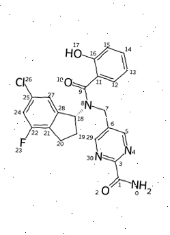 NC(=O)c1ncc(CN(C(=O)c2ccccc2O)[C@@H]2CCc3c(F)cc(Cl)cc32)cn1